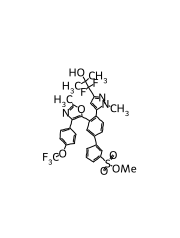 COS(=O)(=O)c1cccc(-c2ccc(-c3cc(C(F)(F)C(C)(C)O)nn3C)c(-c3oc(C)nc3-c3ccc(OC(F)(F)F)cc3)c2)c1